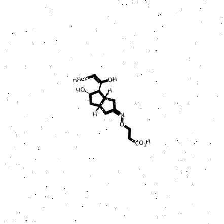 CCCCCC/C=C(/O)[C@H]1[C@@H]2C/C(=N/OCCC(=O)O)C[C@@H]2C[C@@H]1O